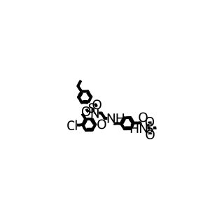 CCc1ccc(S(=O)(=O)N(CC(=O)NCc2ccc(C(=O)NS(C)(=O)=O)cc2)c2cccc(Cl)c2C)cc1